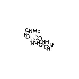 CNC(=O)c1cc(C(/C=C(\N)c2cc(NC(=O)c3ccnc(C(C)(C)F)c3)ccc2C)=C/N)ccn1